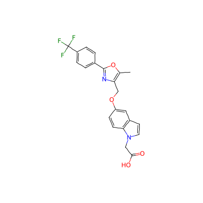 Cc1oc(-c2ccc(C(F)(F)F)cc2)nc1COc1ccc2c(ccn2CC(=O)O)c1